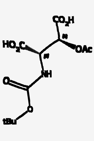 CC(=O)O[C@H](C(=O)O)[C@H](NC(=O)OC(C)(C)C)C(=O)O